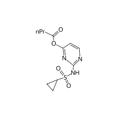 CCCC(=O)Oc1ccnc(NS(=O)(=O)C2CC2)n1